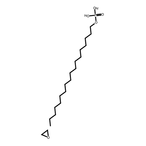 C1CO1.CCCCCCCCCCCCCCCCCCOP(=O)(O)O